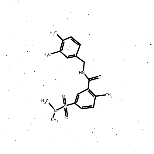 Cc1ccc(CNC(=O)c2cc(S(=O)(=O)N(C)C)ccc2C)cc1C